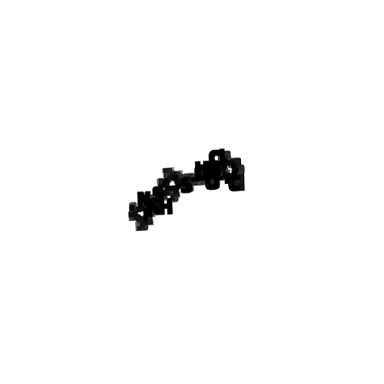 Cc1c(CSc2nc3ccccc3[nH]2)cccc1SCCOC(=O)Nc1cc(Cl)ccc1Cl